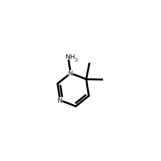 CC1(C)C=CN=CN1N